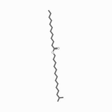 CCCCCCCCCCCC(=O)OCCCCCCCCCCCCC(C)C